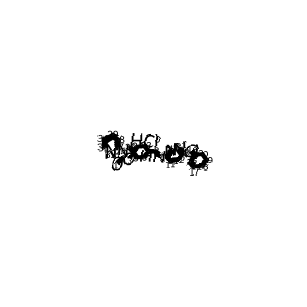 Cl.O=C1OC2(CCC(CNc3ccc(OC4CCCCC4)nn3)CC2)CN1c1ccccn1